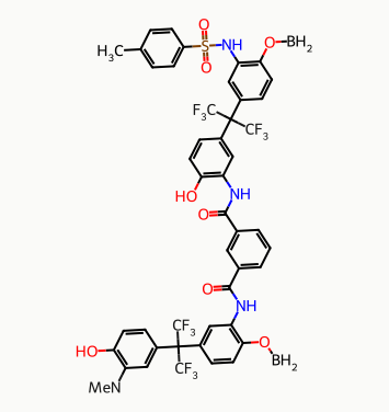 BOc1ccc(C(c2ccc(O)c(NC)c2)(C(F)(F)F)C(F)(F)F)cc1NC(=O)c1cccc(C(=O)Nc2cc(C(c3ccc(OB)c(NS(=O)(=O)c4ccc(C)cc4)c3)(C(F)(F)F)C(F)(F)F)ccc2O)c1